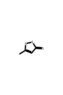 Cc1cc(=S)ss1